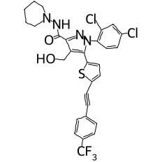 O=C(NN1CCCCC1)c1nn(-c2ccc(Cl)cc2Cl)c(-c2ccc(C#Cc3ccc(C(F)(F)F)cc3)s2)c1CO